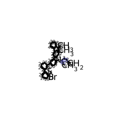 C=C/C=C\C(=C/C)n1c2ccc(C3=c4sc5c(Br)cccc5c4=CCC3)cc2c2cc3c(cc21)C(C)(C)c1ccccc1-3